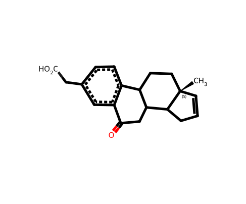 C[C@@]12C=CCC1C1CC(=O)c3cc(CC(=O)O)ccc3C1CC2